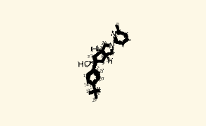 Cc1cccc(N2C[C@@H]3C[C@@](O)(c4ccc(C(C)(C)C)cc4)C[C@@H]3C2)n1